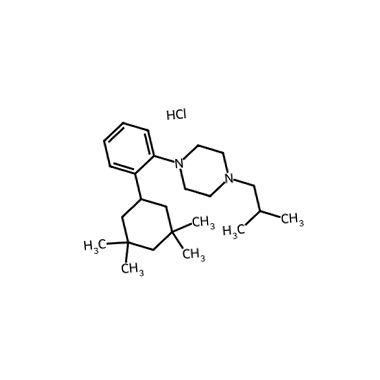 CC(C)CN1CCN(c2ccccc2C2CC(C)(C)CC(C)(C)C2)CC1.Cl